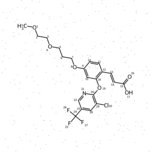 COCCOCCCOc1ccc(C=CC(=O)O)c(Oc2ncc(C(F)(F)F)cc2Cl)c1